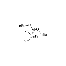 CCCC[O][AlH][O]CCCC.CCC[SiH](CCC)CCC